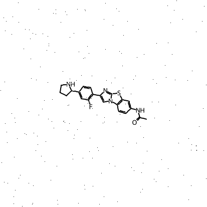 CC(=O)Nc1ccc2c(c1)sc1nc(-c3ccc(C4CCCN4)cc3F)cn12